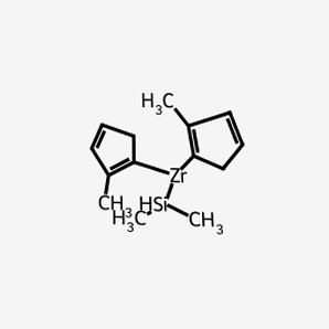 CC1=[C]([Zr]([C]2=C(C)C=CC2)[SiH](C)C)CC=C1